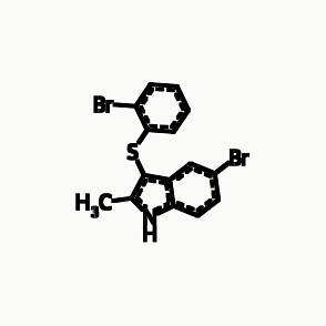 Cc1[nH]c2ccc(Br)cc2c1Sc1ccccc1Br